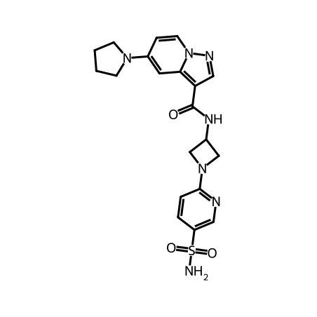 NS(=O)(=O)c1ccc(N2CC(NC(=O)c3cnn4ccc(N5CCCC5)cc34)C2)nc1